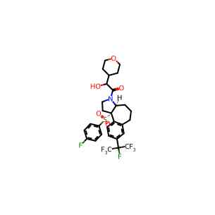 O=C(C(O)C1CCOCC1)N1CC[C@]2(S(=O)(=O)c3ccc(F)cc3)c3ccc(C(F)(C(F)(F)F)C(F)(F)F)cc3CCC[C@H]12